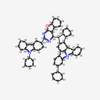 c1ccc(-c2ccc3c4cc5c(c6c7ccccc7n(c3c2)c46)-c2ccccc2C5c2nc(-c3ccc4c(c3)c3ccccc3n4-c3ccccc3)nc3oc4ccccc4c23)cc1